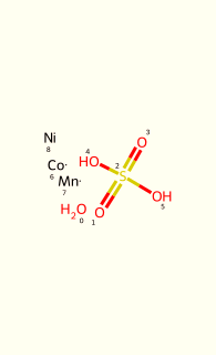 O.O=S(=O)(O)O.[Co].[Mn].[Ni]